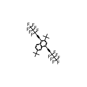 CC(C)(C)c1ccc2c(C#CC(F)(F)C(F)(F)C(F)(F)F)c(C(C)(C)C)cc(C#CC(F)(F)C(F)(F)C(F)(F)F)c2c1